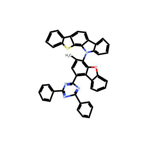 Cc1cc(-c2nc(-c3ccccc3)nc(-c3ccccc3)n2)c2c(oc3ccccc32)c1-n1c2ccccc2c2ccc3c4ccccc4sc3c21